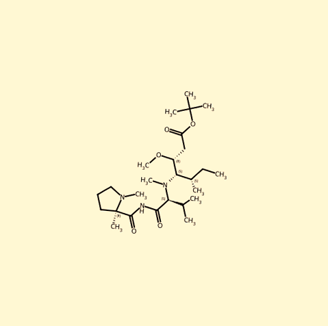 CC[C@H](C)[C@@H]([C@@H](CC(=O)OC(C)(C)C)OC)N(C)[C@H](C(=O)NC(=O)[C@@]1(C)CCCN1C)C(C)C